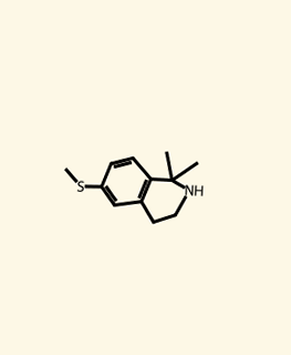 CSc1ccc2c(c1)CCNC2(C)C